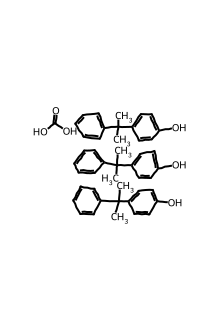 CC(C)(c1ccccc1)c1ccc(O)cc1.CC(C)(c1ccccc1)c1ccc(O)cc1.CC(C)(c1ccccc1)c1ccc(O)cc1.O=C(O)O